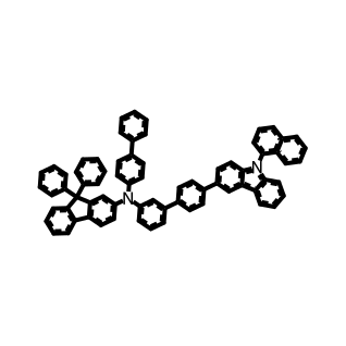 c1ccc(-c2ccc(N(c3cccc(-c4ccc(-c5ccc6c(c5)c5ccccc5n6-c5cccc6ccccc56)cc4)c3)c3ccc4c(c3)C(c3ccccc3)(c3ccccc3)c3ccccc3-4)cc2)cc1